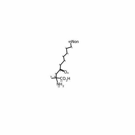 CCCCCCCCCCCCCCCC(=O)CC(C)(N)C(=O)O